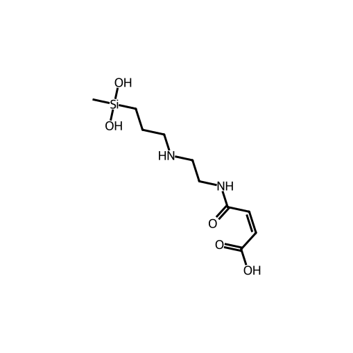 C[Si](O)(O)CCCNCCNC(=O)/C=C\C(=O)O